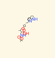 CC(CO[C@H]1C[C@H](CCc2ccc3c(n2)NCCC3)C1)C(CNC(=O)OC(C)(C)C)C(=O)O